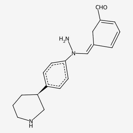 NN(/C=C1/C=CC=C(C=O)C1)c1ccc([C@@H]2CCCNC2)cc1